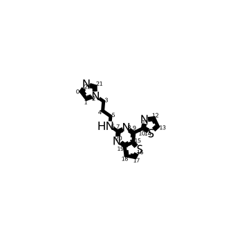 c1cn(CCCNc2nc(-c3nccs3)c3sccc3n2)cn1